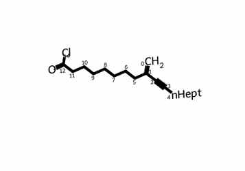 C=C(C#CCCCCCCC)CCCCCCCC(=O)Cl